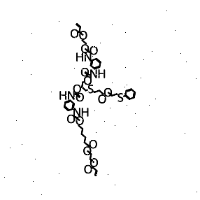 C=CC(=O)OCCOC(=O)CCCCCOC(=O)Nc1cccc(NC(=O)OC(COC(=O)Nc2cccc(NC(=O)OCCOC(=O)C=C)c2)CSCCC(=O)OCCSc2ccccc2)c1